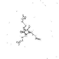 CCCC(C)CCCn1c(=O)n(CCCC2CO2)c(=O)n1CCCC1CO1